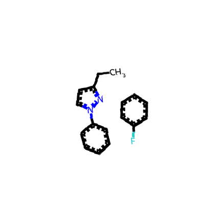 CCc1ccn(-c2ccccc2)n1.Fc1ccccc1